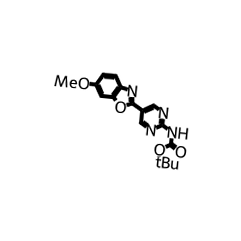 COc1ccc2nc(-c3cnc(NC(=O)OC(C)(C)C)nc3)oc2c1